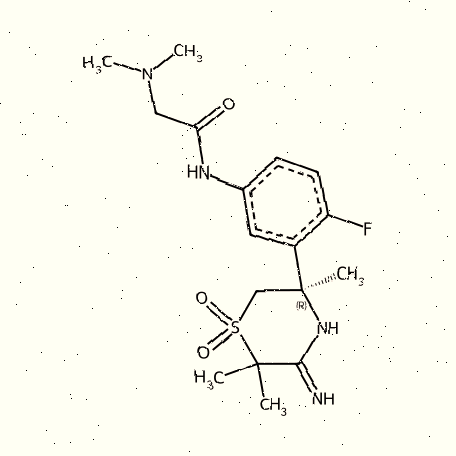 CN(C)CC(=O)Nc1ccc(F)c([C@]2(C)CS(=O)(=O)C(C)(C)C(=N)N2)c1